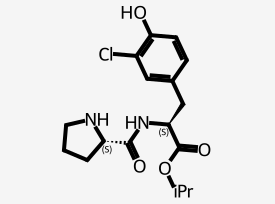 CC(C)OC(=O)[C@H](Cc1ccc(O)c(Cl)c1)NC(=O)[C@@H]1CCCN1